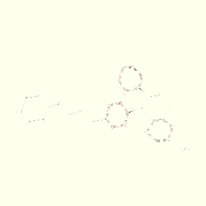 COc1ccc2c(c1)OC[C@H](c1ccc(F)cc1)[C@@H]2c1ccc(OCCCN2CCCCC2)cc1